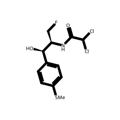 CSc1ccc([C@@H](O)[C@@H](CF)NC(=O)C(Cl)Cl)cc1